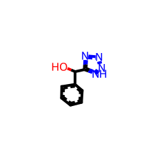 OC(c1ccccc1)c1nnn[nH]1